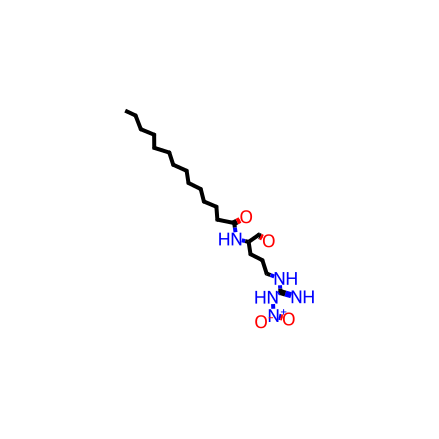 CCCCCCCCCCCCCC(=O)NC(C=O)CCCNC(=N)N[N+](=O)[O-]